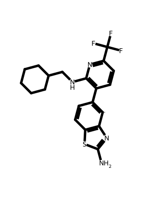 Nc1nc2[c]c(-c3ccc(C(F)(F)F)nc3NCC3CCCCC3)ccc2s1